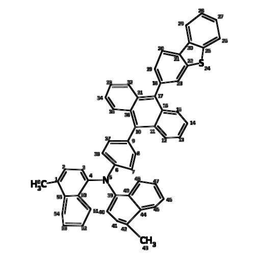 Cc1ccc(N(c2ccc(-c3c4ccccc4c(-c4ccc5c(c4)sc4ccccc45)c4ccccc34)cc2)c2ccc(C)c3ccccc23)c2ccccc12